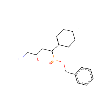 Cl.NC[C@H](O)CC(C1CCCCC1)[PH](=O)OCc1ccccc1